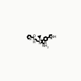 Nc1nc2cc(-c3cc[nH]n3)ccc2c2c1nc(CCNC(=O)c1ccccn1)n2C1CC1